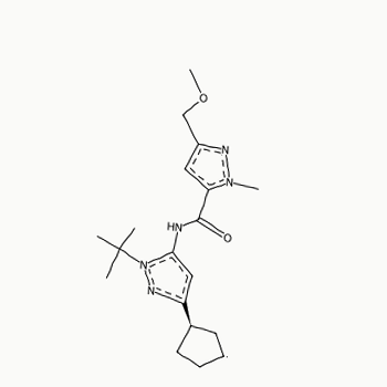 COCc1cc(C(=O)Nc2cc([C@H]3C[CH]CC3)nn2C(C)(C)C)n(C)n1